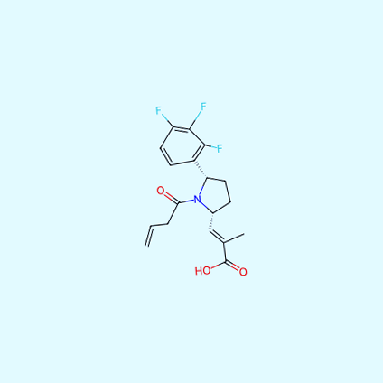 C=CCC(=O)N1[C@@H](/C=C(\C)C(=O)O)CC[C@H]1c1ccc(F)c(F)c1F